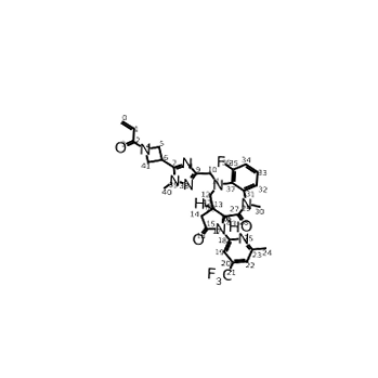 C=CC(=O)N1CC(c2nc(CN3C[C@H]4CC(=O)N(c5cc(C(F)(F)F)cc(C)n5)[C@@H]4C(=O)N(C)c4cccc(F)c43)nn2C)C1